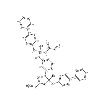 C=CC(=O)OC(CC)(Oc1ccc(-c2ccccc2)cc1)Oc1cccc(OC(CC)(OC(=O)C=C)Oc2ccc(-c3ccccc3)cc2)c1